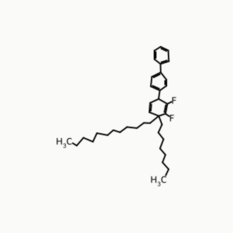 CCCCCCCCCCCCC1(CCCCCCCC)C=CC(c2ccc(-c3ccccc3)cc2)C(F)=C1F